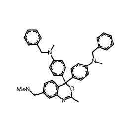 CNCc1ccc2c(c1)N=C(C)OC2(c1ccc(N(C)Cc2ccccc2)cc1)c1ccc(N(C)Cc2ccccc2)cc1